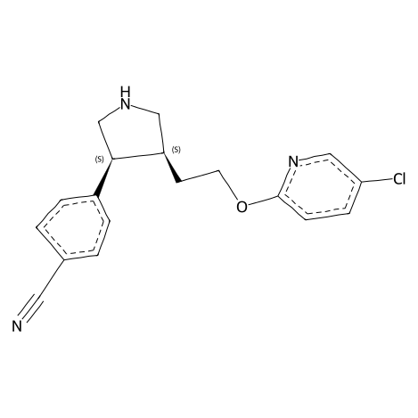 N#Cc1ccc([C@H]2CNC[C@H]2CCOc2ccc(Cl)cn2)cc1